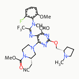 COC(=O)N1CCN(c2nc(OC[C@@H]3CCCN3C)nc(C=O)c2/N=C(\N(C)c2c(F)cccc2OC)C(F)(F)F)C[C@@H]1CC#N